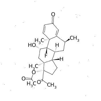 CC(=O)O[C@@]1(C(C)=O)CC[C@H]2[C@@H]3C[C@H](C)C4=CC(=O)C=C[C@]4(C)[C@@]3(F)[C@@H](O)C[C@@]21C